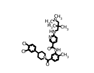 Cc1ccc(C(=O)N2CCC(c3ccc(Cl)c(Cl)c3)CC2)cc1NC(=O)c1ccc(NCC(C)(C)CN(C)C)nc1